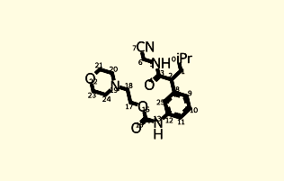 CC(C)CC(C(=O)NCC#N)c1cccc(NC(=O)OCCN2CCOCC2)c1